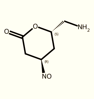 NC[C@@H]1C[C@@H](N=O)CC(=O)O1